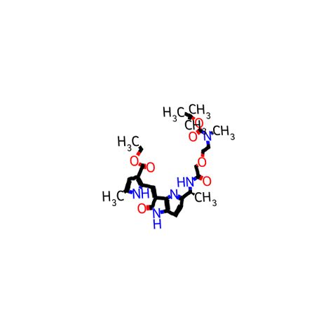 CCOC(=O)c1cc(C)[nH]c1/C=C1\C(=O)Nc2ccc([C@H](C)NC(=O)COCCN(C)C(=O)OC(C)(C)C)nc21